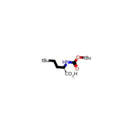 CC(C)(C)CC[C@H](NC(=O)OC(C)(C)C)C(=O)O